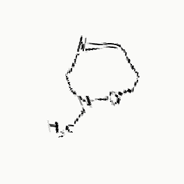 CN1CN=CCO1